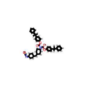 CC(C)(c1ccccc1)c1ccc(OC(=O)N(C(=O)Oc2ccc(C(C)(C)c3ccccc3)cc2)C2CCC(CC3CCC(N=C=O)CC3)CC2)cc1